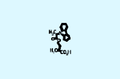 C=C(CCOC(=O)C(C)n1c2ccccc2c2ccccc21)C(=O)O